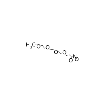 CCOCCOCCOCCOCCC(=O)N=O